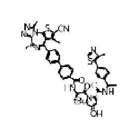 Cc1ncsc1-c1ccc(C(C)NC(=O)[C@@H]2C[C@@H](O)CN2C(=O)C(NC(=O)c2ccc(-c3ccc(C4=N[C@@H](C)c5nnc(C)n5-c5sc(C#N)c(C)c54)cc3)cc2)C(C)(C)C)cc1